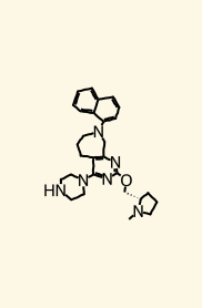 CN1CCC[C@H]1COc1nc2c(c(N3CCNCC3)n1)CCCN(c1cccc3ccccc13)C2